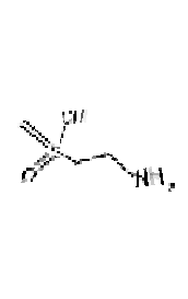 C=S(=O)(O)CCN